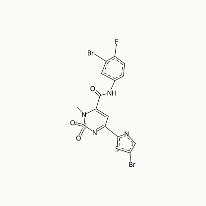 CN1C(C(=O)Nc2ccc(F)c(Br)c2)=CC(c2ncc(Br)s2)=NS1(=O)=O